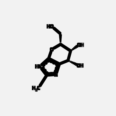 Cc1nc2c([nH]1)O[C@H](CO)[C@H](O)[C@@H]2O